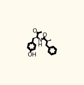 CC(=O)[C@H](Cc1ccc(O)cc1)NC(=O)[C@@H](C)Cc1ccccc1